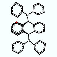 c1ccc(N(c2ccccc2)C23c4ccccc4C(N(c4ccccc4)c4ccccc4)(c4ccccc42)c2ccccc23)cc1